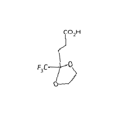 O=C(O)CCC1(C(F)(F)F)OCCO1